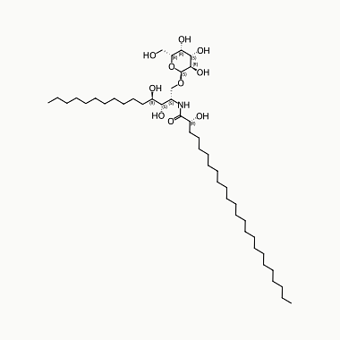 CCCCCCCCCCCCCCCCCCCCCC[C@@H](O)C(=O)N[C@@H](CO[C@H]1O[C@H](CO)[C@H](O)[C@H](O)[C@H]1O)[C@H](O)[C@H](O)CCCCCCCCCCC